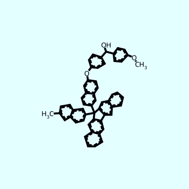 COc1ccc(C(O)c2ccc(Oc3ccc4cc(C5(c6ccc7cc(C)ccc7c6)c6cc7ccccc7cc6-c6cc7ccccc7cc65)ccc4c3)cc2)cc1